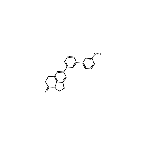 COc1cccc(-c2cncc(-c3cc4c5c(c3)CCN5C(=S)CC4)c2)c1